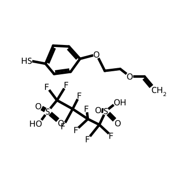 C=COCCOc1ccc(S)cc1.O=S(=O)(O)C(F)(F)C(F)(F)C(F)(F)C(F)(F)S(=O)(=O)O